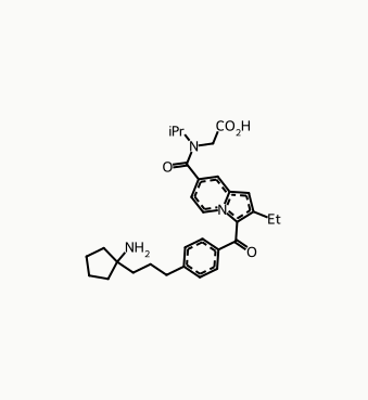 CCc1cc2cc(C(=O)N(CC(=O)O)C(C)C)ccn2c1C(=O)c1ccc(CCCC2(N)CCCC2)cc1